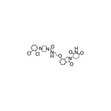 O=C1CCC(N2Cc3c(OCCNC(=O)N4CCN(c5cccc(Cl)c5Cl)CC4)cccc3C2=O)C(=O)N1